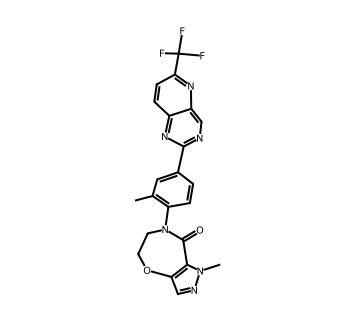 Cc1cc(-c2ncc3nc(C(F)(F)F)ccc3n2)ccc1N1CCOc2cnn(C)c2C1=O